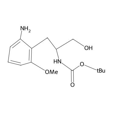 COc1cccc(N)c1CC(CO)NC(=O)OC(C)(C)C